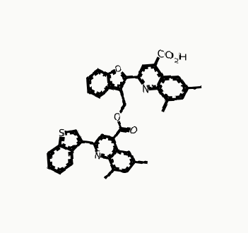 Cc1cc(C)c2nc(-c3oc4ccccc4c3COC(=O)c3cc(-c4csc5ccccc45)nc4c(C)cc(C)cc34)cc(C(=O)O)c2c1